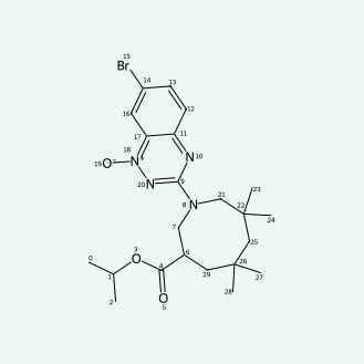 CC(C)OC(=O)C1CN(c2nc3ccc(Br)cc3[n+]([O-])n2)CC(C)(C)CC(C)(C)C1